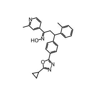 Cc1cc(C(CC(c2ccc(-c3nnc(C4CC4)o3)cc2)c2ccccc2C)=NO)ccn1